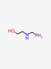 OCCNCP